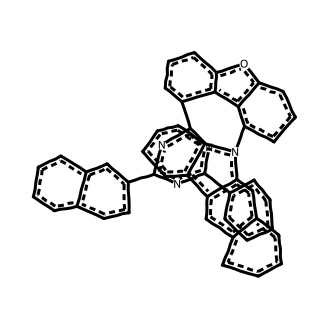 c1ccc(-c2nc(-c3ccc4ccccc4c3)nc(-c3cccc4oc5cccc(-n6c7ccccc7c7cc8ccccc8cc76)c5c34)n2)cc1